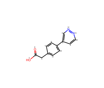 O=C(O)Cc1ccc(-c2ccnnc2)cc1